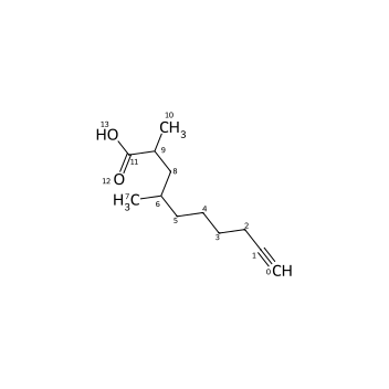 C#CCCCCC(C)CC(C)C(=O)O